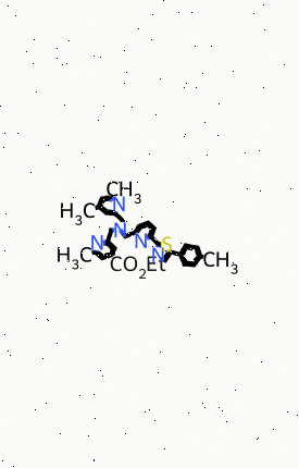 CCOC(=O)c1cc(C)nc(CN(Cc2cc(C)cc(C)n2)Cc2cccc(-c3ncc(-c4ccc(C)cc4)s3)n2)c1